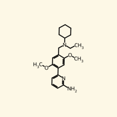 CCN(Cc1cc(OC)c(-c2cccc(N)n2)cc1OC)C1CCCCC1